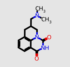 CN(C)CC1Cc2cccc3c(=O)[nH]c(=O)n(c23)C1